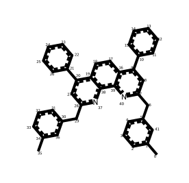 Cc1cccc(Cc2cc(-c3ccccc3)c3ccc4c(-c5ccccc5)cc(Cc5cccc(C)c5)nc4c3n2)c1